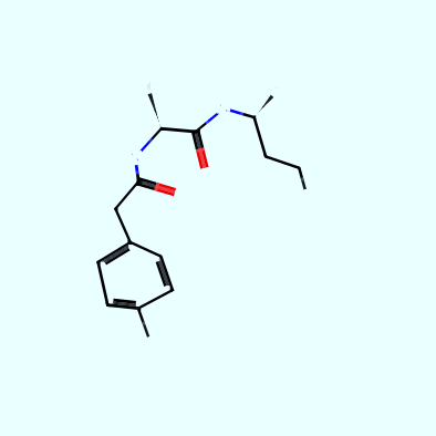 CC(C)[C@H](NC(=O)Cc1ccc(C(F)(F)F)cc1)C(=O)N[C@H](CCC(=O)O)C(=O)O